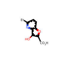 CCc1ccc2oc(C(=O)O)c(O)c2n1